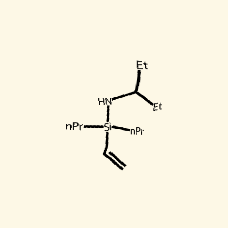 C=C[Si](CCC)(CCC)NC(CC)CC